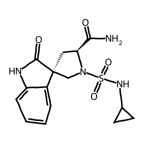 NC(=O)[C@@H]1C[C@@]2(CN1S(=O)(=O)NC1CC1)C(=O)Nc1ccccc12